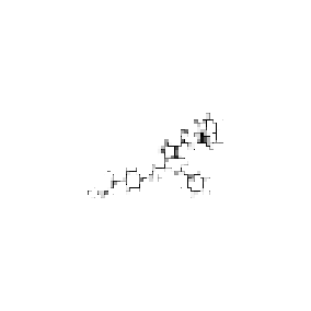 CC(C)(C)OC(=O)N1CCC(NCCn2ncc(C(=O)NC3C4CC5CC(C4)CC3C5)c2OCC2CCCCC2)CC1